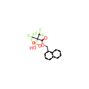 O=C(OCc1cccc2ccccc12)C(C(F)(F)F)(C(F)(F)F)S(=O)(=O)O